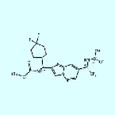 CC(C)(C)OC(=O)N[C@H](c1cn2ncc([C@H](N[S@+]([O-])C(C)(C)C)C(F)(F)F)cc2n1)C1CCC(F)(F)CC1